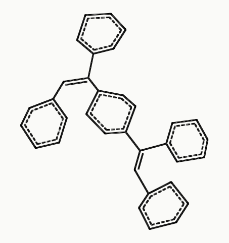 C(=C(c1ccccc1)c1ccc(C(=Cc2ccccc2)c2ccccc2)cc1)c1ccccc1